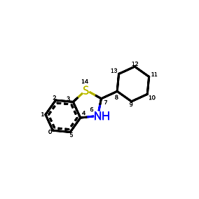 c1ccc2c(c1)NC(C1CCCCC1)S2